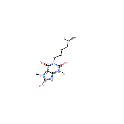 CC(=O)O[C@H](C)CCCCn1c(=O)c2c(nc(Br)n2C)n(C)c1=O